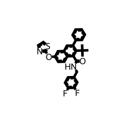 CC(C)(C)c1c(-c2ccccc2)cc2cc(Oc3nccs3)ccc2c1C(=O)NCc1ccc(F)c(F)c1